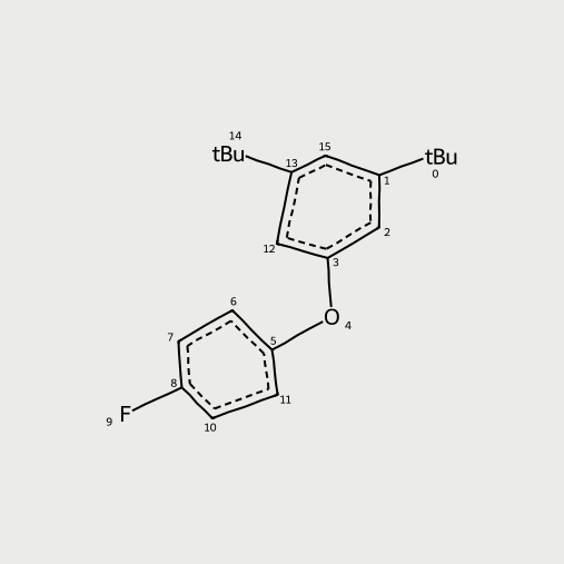 CC(C)(C)c1cc(Oc2ccc(F)cc2)cc(C(C)(C)C)c1